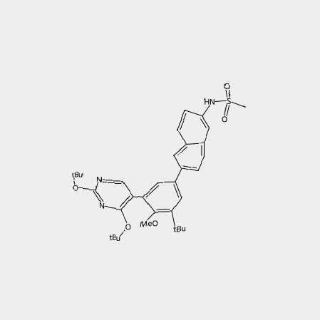 COc1c(-c2cnc(OC(C)(C)C)nc2OC(C)(C)C)cc(-c2ccc3cc(NS(C)(=O)=O)ccc3c2)cc1C(C)(C)C